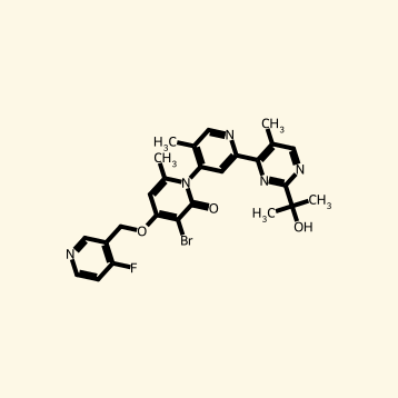 Cc1cnc(-c2nc(C(C)(C)O)ncc2C)cc1-n1c(C)cc(OCc2cnccc2F)c(Br)c1=O